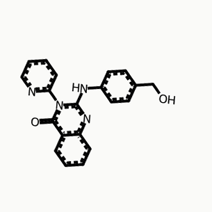 O=c1c2ccccc2nc(Nc2ccc(CO)cc2)n1-c1ccccn1